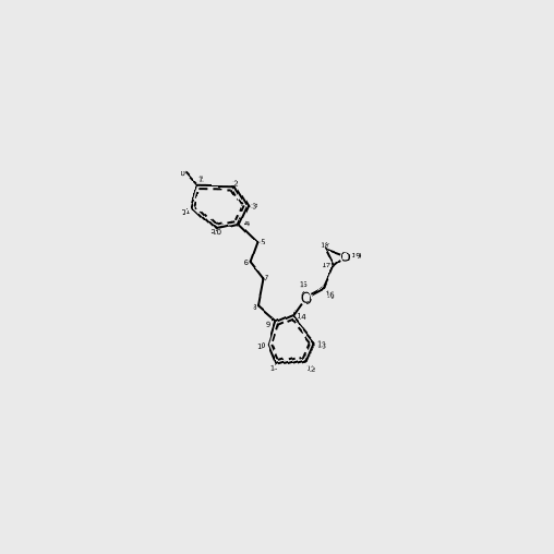 Cc1ccc(CCCCc2ccccc2OCC2CO2)cc1